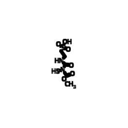 COC(=O)N(S)C(=O)NCCS(=O)(=O)O